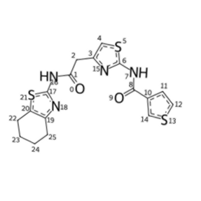 O=C(Cc1csc(NC(=O)c2ccsc2)n1)Nc1nc2c(s1)CCCC2